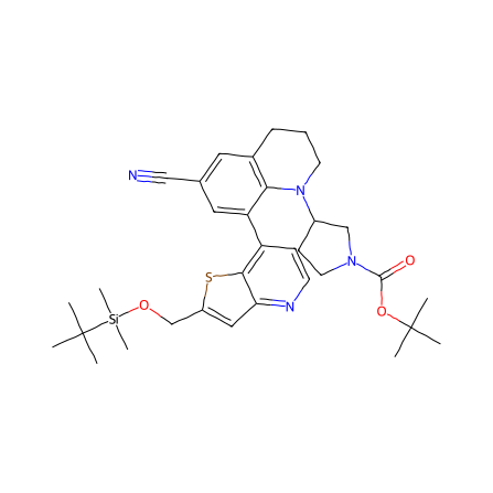 CC(C)(C)OC(=O)N1CCC(N2CCCc3cc(C#N)cc(-c4ccnc5cc(CO[Si](C)(C)C(C)(C)C)sc45)c32)C1